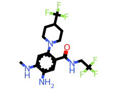 CNc1cc(N2CCC(C(F)(F)F)CC2)c(C(=O)NCC(F)(F)F)cc1N